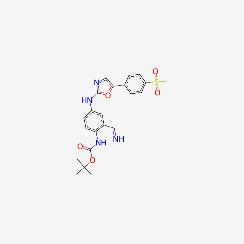 CC(C)(C)OC(=O)Nc1ccc(Nc2ncc(-c3ccc(S(C)(=O)=O)cc3)o2)cc1C=N